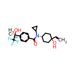 C=C[C@]1(O)CC[C@H](N(C(=O)c2ccc([C@](C)(O)C(F)(F)F)cc2)C2CC2)CC1